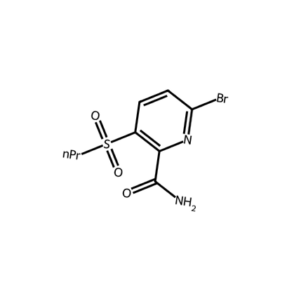 CCCS(=O)(=O)c1ccc(Br)nc1C(N)=O